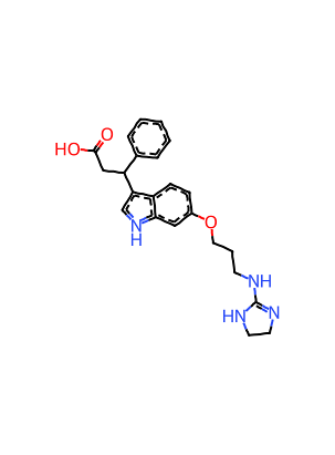 O=C(O)CC(c1ccccc1)c1c[nH]c2cc(OCCCNC3=NCCN3)ccc12